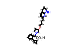 O=C(O)C(c1ccccc1C1CCC1)N1CCC(OCCCCc2ccc3c(n2)NCCC3)C1